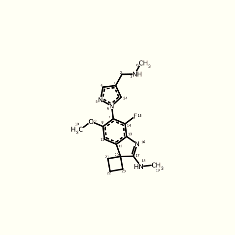 CNCc1cnn(-c2c(OC)cc3c(c2F)N=C(NC)C32CCC2)c1